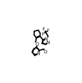 O=Cc1ncccc1OCC1=C(c2ccnn2CC(F)(F)F)CCCC1